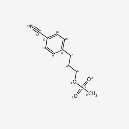 CS(=O)(=O)OCCCc1ccc(C#N)cc1